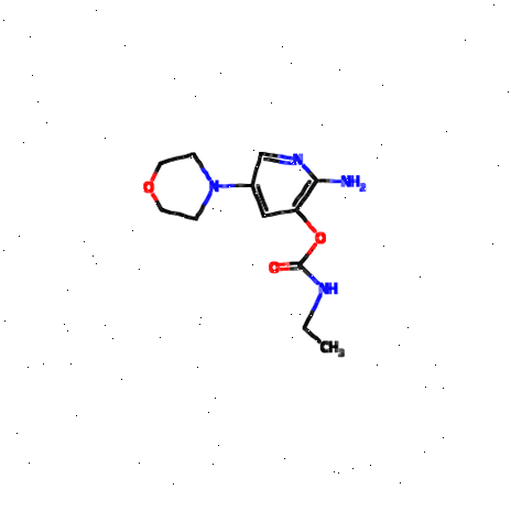 CCNC(=O)Oc1cc(N2CCOCC2)cnc1N